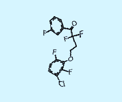 O=C(c1cccc(F)c1)C(F)(F)CCOc1c(F)ccc(Cl)c1F